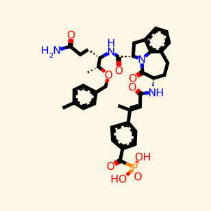 C/C(=C\C(=O)N[C@H]1CCc2cccc3c2N(C1=O)[C@H](C(=O)N[C@@H](CCC(N)=O)[C@@H](C)OCc1ccc(C)cc1)C3)c1ccc(C(=O)P(=O)(O)O)cc1